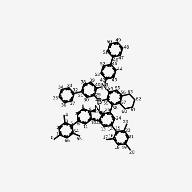 Cc1cc(C)c(-c2ccc3c(c2)c2cc(-c4c(C)cc(C)cc4C)cc4c2n3B2c3cc(-c5ccccc5)ccc3N(c3ccc(-c5ccccc5)cc3)c3cc5c(c-4c32)CCCC5)c(C)c1